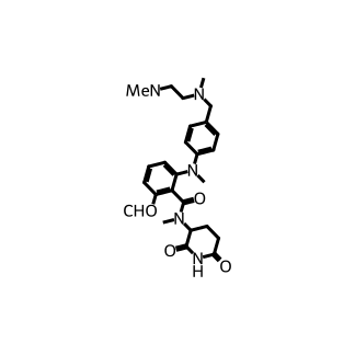 CNCCN(C)Cc1ccc(N(C)c2cccc(C=O)c2C(=O)N(C)C2CCC(=O)NC2=O)cc1